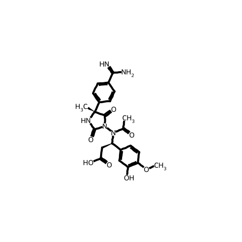 COc1ccc([C@@H](CC(=O)O)N(C(C)=O)N2C(=O)N[C@](C)(c3ccc(C(=N)N)cc3)C2=O)cc1O